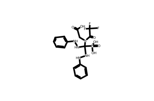 O=C(O)CN(C(=O)C(F)(F)F)C(NNc1ccccc1)(NNc1ccccc1)P(=O)(O)O